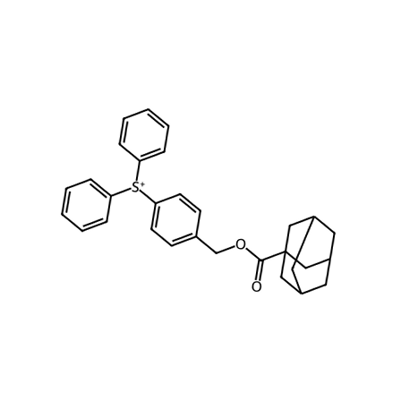 O=C(OCc1ccc([S+](c2ccccc2)c2ccccc2)cc1)C12CC3CC(CC(C3)C1)C2